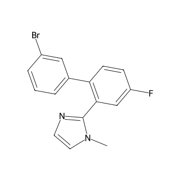 Cn1ccnc1-c1cc(F)ccc1-c1cccc(Br)c1